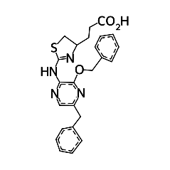 O=C(O)CCC1CSC(Nc2ncc(Cc3ccccc3)nc2OCc2ccccc2)=N1